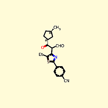 CCc1sc(-c2ccc(C#N)cc2)nc1C(C=O)C(=O)[C@@H]1CC[C@@H](C)C1